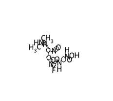 C[C@@H]1CN(Cc2ccc(-c3cccc(Oc4ncc(F)cc4C(=O)N[C@H]4CC[C@H](NC(=O)O)CC4)c3)c(CN3CCOCC3)c2)C[C@H](C)N1